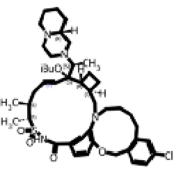 CC(C)CO[C@]1([C@H](C)N2CCN3CCCC[C@@H]3C2)/C=C/C[C@H](C)[C@@H](C)S(=O)(=O)NC(=O)c2ccc3c(c2)N(CCCCc2cc(Cl)ccc2CO3)C[C@@H]2CC[C@H]21